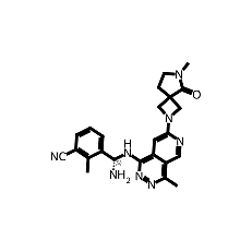 Cc1c(C#N)cccc1[C@@H](N)Nc1nnc(C)c2cnc(N3CC4(CCN(C)C4=O)C3)cc12